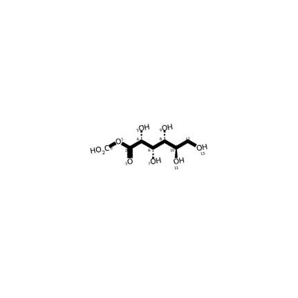 O=C(O)OC(=O)[C@H](O)[C@@H](O)[C@H](O)[C@H](O)CO